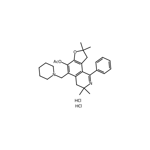 CC(=O)Oc1c(CN2CCCCC2)c2c(c3c1OC(C)(C)C3)C(c1ccccc1)=NC(C)(C)C2.Cl.Cl